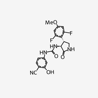 COc1cc(F)c([C@@H]2CNC(=O)[C@H]2NC(=O)Nc2ccc(C#N)c(O)c2)c(F)c1